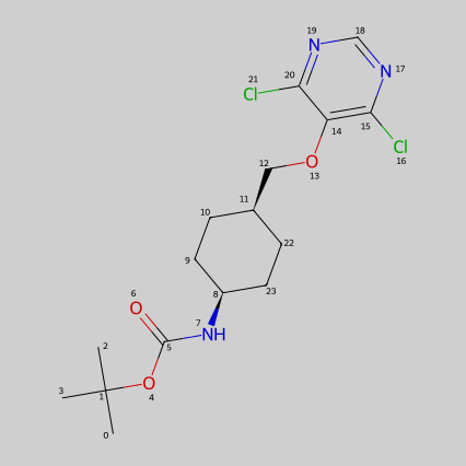 CC(C)(C)OC(=O)N[C@H]1CC[C@@H](COc2c(Cl)ncnc2Cl)CC1